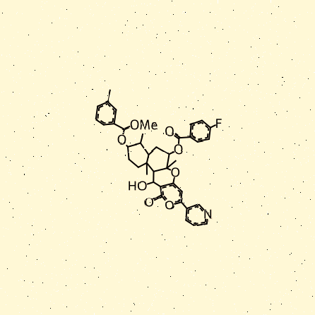 COC(OC1CCC2(C)C(CC(OC(=O)c3ccc(F)cc3)C3(C)Oc4cc(-c5cccnc5)oc(=O)c4C(O)C23)C1C)c1cccc(C)c1